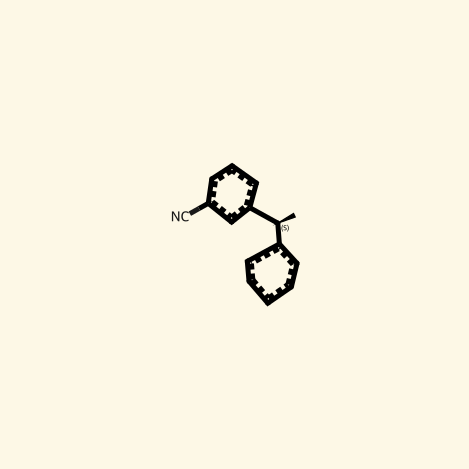 C[C@@H](c1ccccc1)c1cccc(C#N)c1